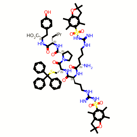 Cc1c(C)c(S(=O)(=O)NC(=N)NCCC[C@H](NC(=O)[C@@H](N)CCCNC(=N)NS(=O)(=O)c2c(C)c(C)c3c(c2C)CC(C)(C)O3)C(=O)N[C@H](CSC(c2ccccc2)(c2ccccc2)c2ccccc2)C(=O)N2CCC[C@H]2C(=O)N[C@@H](CC(C)C)C(=O)N[C@@H](Cc2ccc(O)cc2)C(=O)O)c(C)c2c1OC(C)(C)C2